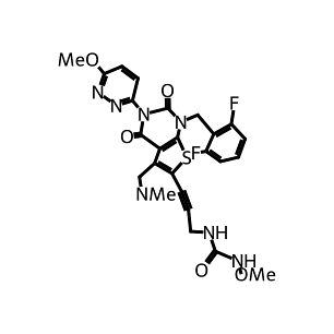 CNCc1c(C#CCNC(=O)NOC)sc2c1c(=O)n(-c1ccc(OC)nn1)c(=O)n2Cc1c(F)cccc1F